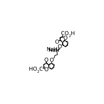 O=C(O)c1cc(=O)c2c(OCCCCCOc3cccc4oc(C(=O)O)cc(=O)c34)cccc2o1.[NaH].[NaH]